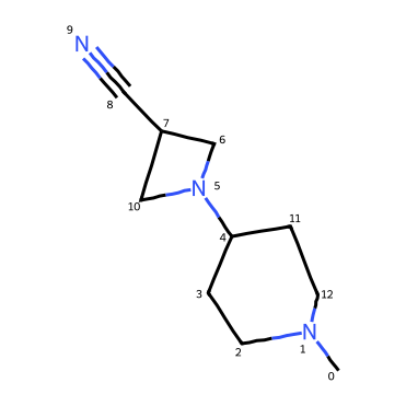 CN1CCC(N2CC(C#N)C2)CC1